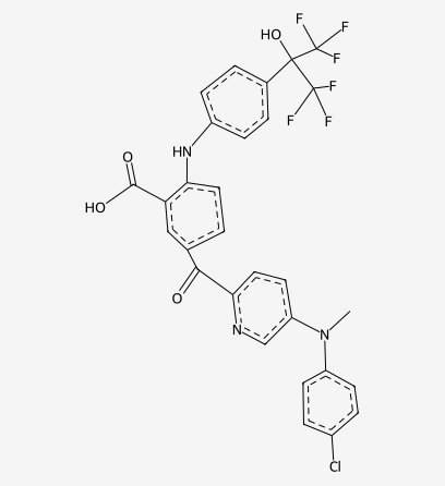 CN(c1ccc(Cl)cc1)c1ccc(C(=O)c2ccc(Nc3ccc(C(O)(C(F)(F)F)C(F)(F)F)cc3)c(C(=O)O)c2)nc1